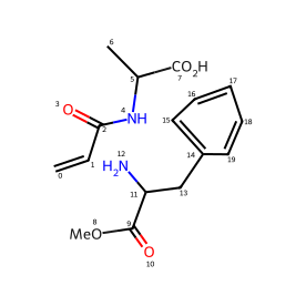 C=CC(=O)NC(C)C(=O)O.COC(=O)C(N)Cc1ccccc1